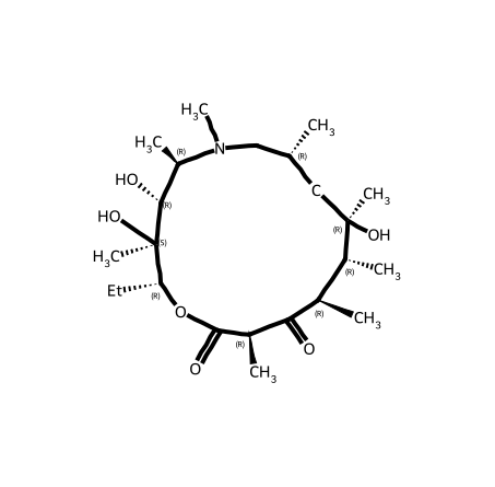 CC[C@H]1OC(=O)[C@H](C)C(=O)[C@H](C)[C@@H](C)[C@](C)(O)C[C@@H](C)CN(C)[C@H](C)[C@@H](O)[C@]1(C)O